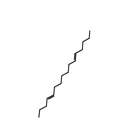 CCCC=CCCCCCC=CCCCC